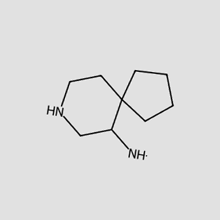 [NH]C1CNCCC12CCCC2